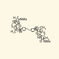 CN[C@@H](C)C(=O)N[C@H]1CCSC2CC(C)(C)[C@@H](C(=O)Nc3ccc(CCc4ccc(NC(=O)[C@H]5N6C(=O)[C@@H](NC(=O)P(C)NC)CCSC6CC5(C)C)cc4)cc3)N2C1=O